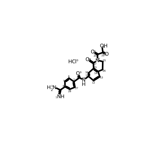 Cl.N=C(N)c1ccc(C(=O)Nc2ccc3c(c2)C(=O)N(C(=O)C(=O)O)CC3)cc1